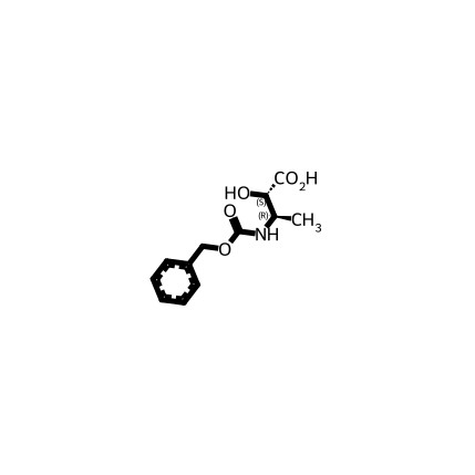 C[C@@H](NC(=O)OCc1ccccc1)[C@H](O)C(=O)O